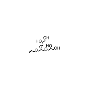 C=CCOCC(COCC(O)CO)OCC(O)CO